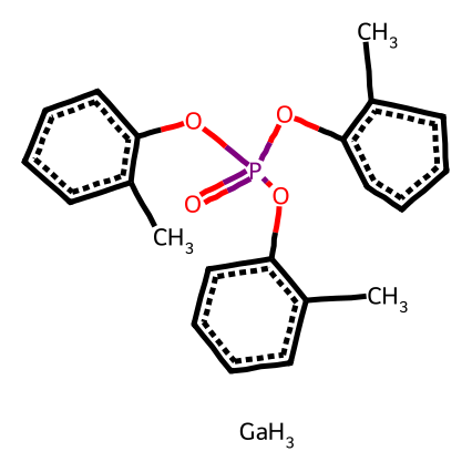 Cc1ccccc1OP(=O)(Oc1ccccc1C)Oc1ccccc1C.[GaH3]